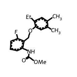 CCc1cc(C)c(C)cc1OCc1c(F)cccc1NC(=O)OC